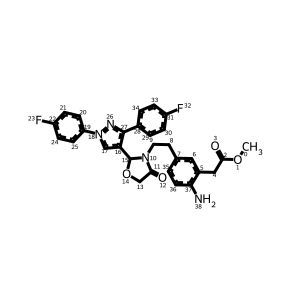 COC(=O)Cc1cc(CCN2C(=O)COC2c2cn(-c3ccc(F)cc3)nc2-c2ccc(F)cc2)ccc1N